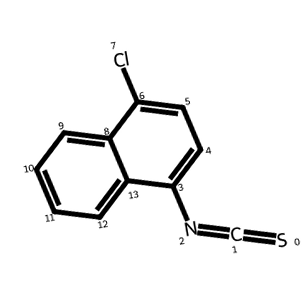 S=C=Nc1ccc(Cl)c2ccccc12